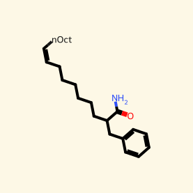 CCCCCCCC/C=C\CCCCCCC(Cc1ccccc1)C(N)=O